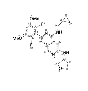 COc1cc(OC)c(F)c(-c2cc3cnc(NC4CCOC4)cc3c(NCC3CC3)n2)c1F